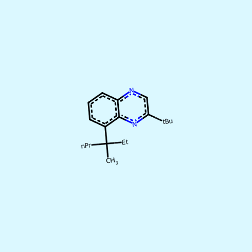 CCCC(C)(CC)c1cccc2ncc(C(C)(C)C)nc12